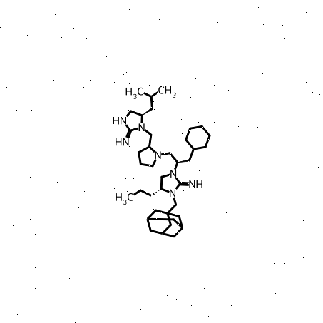 CCC[C@@H]1CN([C@H](CC2CCCCC2)CN2CCCC2CN2C(=N)NC[C@H]2CC(C)C)C(=N)N1CC12CC3CC(CC(C3)C1)C2